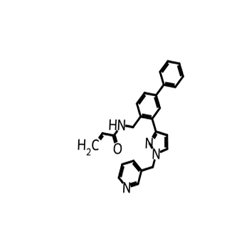 C=CC(=O)NCc1ccc(-c2ccccc2)cc1-c1ccn(Cc2cccnc2)n1